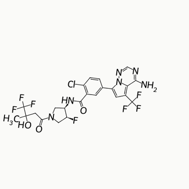 CC(O)(CC(=O)N1C[C@H](F)[C@H](NC(=O)c2cc(-c3cc(C(F)(F)F)c4c(N)ncnn34)ccc2Cl)C1)C(F)(F)F